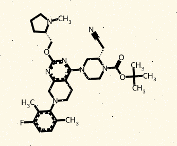 Cc1ccc(F)c(C)c1N1CCc2c(nc(OC[C@@H]3CCCN3C)nc2N2CCN(C(=O)OC(C)(C)C)[C@@H](CC#N)C2)C1